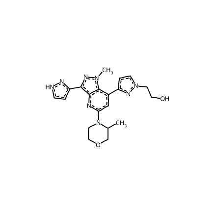 CC1COCCN1c1cc(-c2ccn(CCO)n2)c2c(n1)c(-c1cc[nH]n1)nn2C